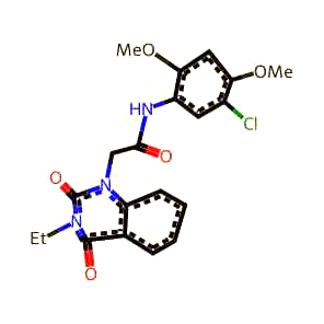 CCn1c(=O)c2ccccc2n(CC(=O)Nc2cc(Cl)c(OC)cc2OC)c1=O